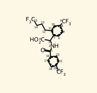 O=C(NC(C(=O)O)c1ccc(C(F)(F)F)cc1CCCC(F)(F)F)c1ccc(C(F)(F)F)cc1